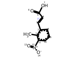 Cc1c(/C=C/C(=O)O)cccc1[N+](=O)[O-]